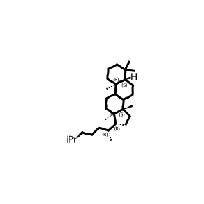 CC(C)CCC[C@@H](C)[C@H]1CC[C@@]2(C)C3CC[C@H]4C(C)(C)[CH]CC[C@]4(C)C3CC[C@]12C